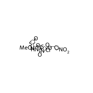 CON=C(C(=O)NC1C(=O)N2CC(Cl)(C(=O)OCc3ccc([N+](=O)[O-])cc3)CS[C@H]12)C1=CC(=O)CCS1